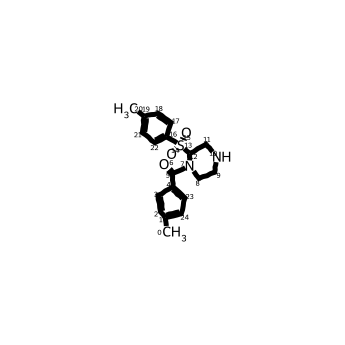 Cc1ccc(C(=O)N2CCNCC2S(=O)(=O)c2ccc(C)cc2)cc1